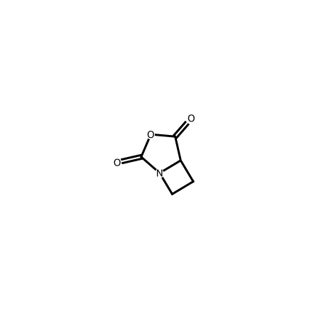 O=C1OC(=O)N2CCC12